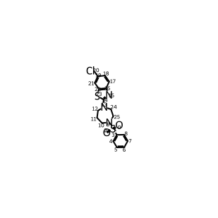 O=S(=O)(c1ccccc1)N1CCCN(c2nc3ccc(Cl)cc3s2)CC1